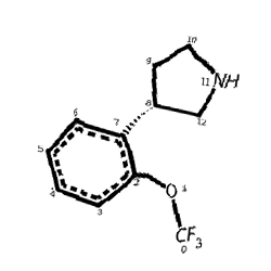 FC(F)(F)Oc1c[c]ccc1[C@@H]1CCNC1